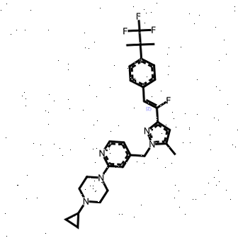 Cc1cc(/C(F)=C/c2ccc(C(C)(C)C(F)(F)F)cc2)nn1Cc1ccnc(N2CCN(C3CC3)CC2)c1